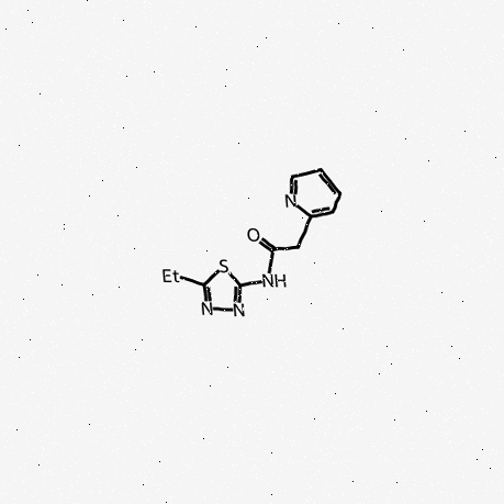 CCc1nnc(NC(=O)Cc2ccccn2)s1